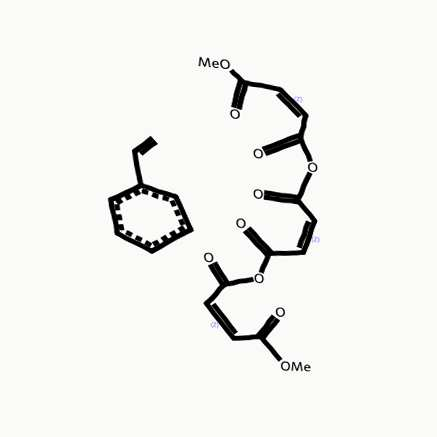 C=Cc1ccccc1.COC(=O)/C=C\C(=O)OC(=O)/C=C\C(=O)OC(=O)/C=C\C(=O)OC